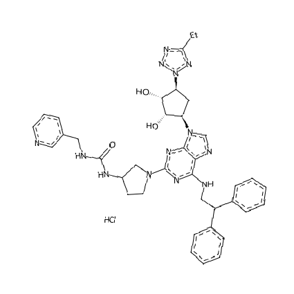 CCc1nnn([C@H]2C[C@@H](n3cnc4c(NCC(c5ccccc5)c5ccccc5)nc(N5CCC(NC(=O)NCc6cccnc6)C5)nc43)[C@H](O)[C@@H]2O)n1.Cl